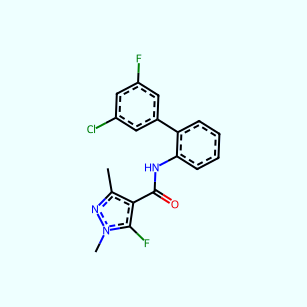 Cc1nn(C)c(F)c1C(=O)Nc1ccccc1-c1cc(F)cc(Cl)c1